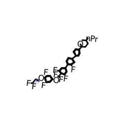 CCCC1CCC(c2ccc(-c3ccc(-c4cc(F)c(C(F)(F)Oc5cc(F)c(O/C=C/C(F)F)c(F)c5)c(F)c4)c(F)c3)cc2)OC1